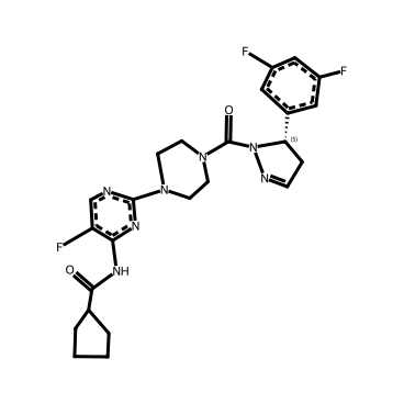 O=C(Nc1nc(N2CCN(C(=O)N3N=CC[C@H]3c3cc(F)cc(F)c3)CC2)ncc1F)C1CCCC1